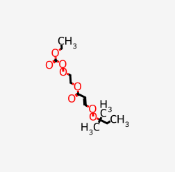 CCOC(=O)OOCCOC(=O)C=COOC(C)(C)CC